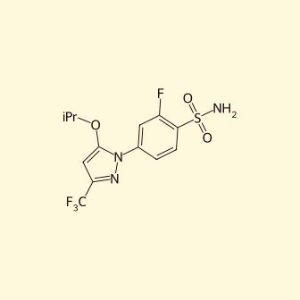 CC(C)Oc1cc(C(F)(F)F)nn1-c1ccc(S(N)(=O)=O)c(F)c1